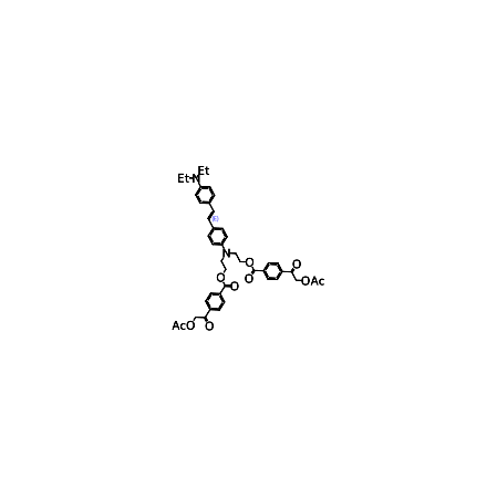 CCN(CC)c1ccc(/C=C/c2ccc(N(CCOC(=O)c3ccc(C(=O)COC(C)=O)cc3)CCOC(=O)c3ccc(C(=O)COC(C)=O)cc3)cc2)cc1